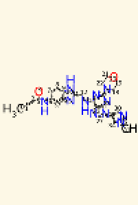 CC#CC(=O)Nc1ccc2[nH]c(CNc3nc(N4CCOCC4)nc4c3ncn4-c3cnn(C)c3)nc2c1